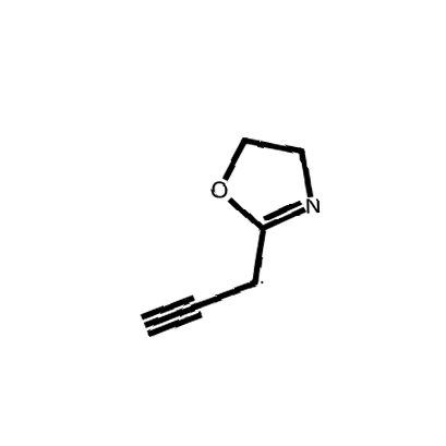 C#C[CH]C1=NCCO1